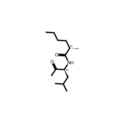 CCCC[C@H](C)C(=O)N[C@@H](CC(C)C)C(C)=O